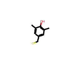 Cc1cc(C[S])cc(C)c1O